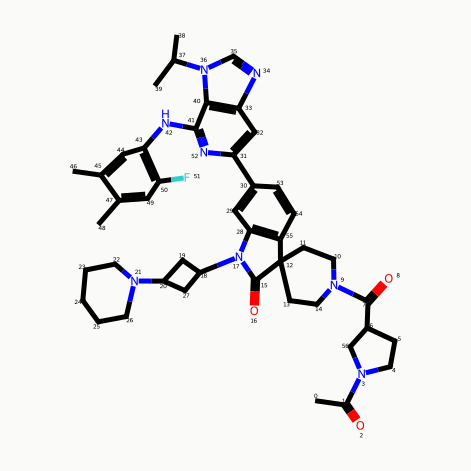 CC(=O)N1CCC(C(=O)N2CCC3(CC2)C(=O)N(C2CC(N4CCCCC4)C2)c2cc(-c4cc5ncn(C(C)C)c5c(Nc5cc(C)c(C)cc5F)n4)ccc23)C1